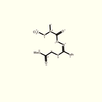 CCCC(=NOC(=O)N(C)SC(Cl)(Cl)Cl)SCC(=O)OC